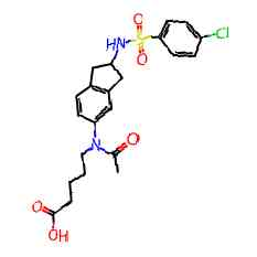 CC(=O)N(CCCCC(=O)O)c1ccc2c(c1)CC(NS(=O)(=O)c1ccc(Cl)cc1)C2